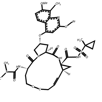 COc1ccc2c(O[C@@H]3C[C@H]4C(=O)N[C@]5(C(=O)NS(=O)(=O)C6(C)CC6)C[C@H]5/C=C\CCCCC[C@H](NC(=O)N(C)C)C(=O)N4C3)cc(OC(C)C)nc2c1C